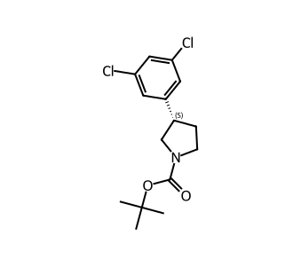 CC(C)(C)OC(=O)N1CC[C@@H](c2cc(Cl)cc(Cl)c2)C1